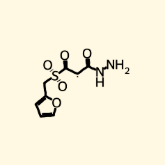 NNC(=O)[CH]C(=O)S(=O)(=O)Cc1ccco1